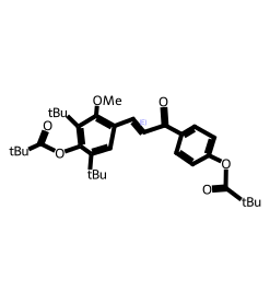 COc1c(/C=C/C(=O)c2ccc(OC(=O)C(C)(C)C)cc2)cc(C(C)(C)C)c(OC(=O)C(C)(C)C)c1C(C)(C)C